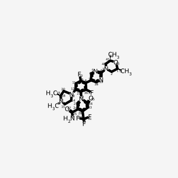 C[C@H]1CN(c2ncc(-c3c(F)cc(N4CCN(C)[C@@H](C)C4)c(-n4cc(C(N)=O)c(C(F)(F)F)cc4=O)c3F)cn2)C[C@H](C)O1